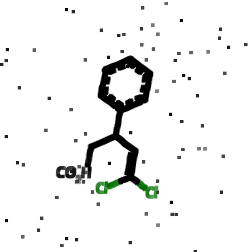 O=C(O)CC(C=C(Cl)Cl)c1ccccc1